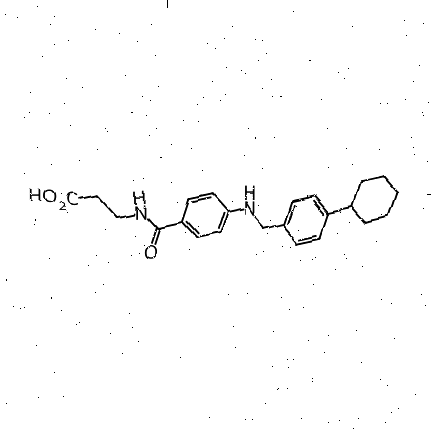 O=C(O)CCNC(=O)c1ccc(NCc2ccc(C3CCCCC3)cc2)cc1